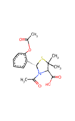 CC(=O)Oc1ccccc1[C@@H]1SC(C)(C)C(C(=O)O)N1C(C)=O